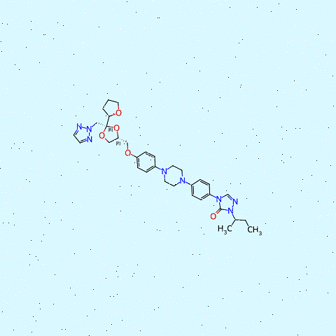 CCC(C)n1ncn(-c2ccc(N3CCN(c4ccc(OC[C@@H]5CO[C@@](Cn6nccn6)(C6CCCO6)O5)cc4)CC3)cc2)c1=O